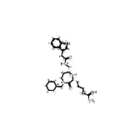 N=C(N)NCCC[C@H]1N[C@@H](CNC(=O)Cc2c[nH]c3ccccc23)CCN(CC2CCCCC2)C1=O